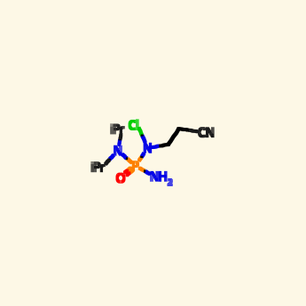 CC(C)N(C(C)C)P(N)(=O)N(Cl)CCC#N